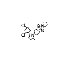 Cc1ccc(-c2ccc(Cl)cc2Cl)n1-c1ccc(S(=O)(=O)N2CCCCC2)cc1